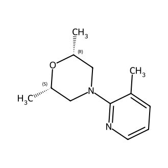 Cc1cccnc1N1C[C@@H](C)O[C@@H](C)C1